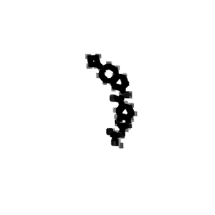 O=C(Nc1ccc2c(c1)CCN(C1CCC1)CC2)c1ccc2nc(OC(=O)C(F)(F)F)sc2c1